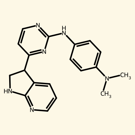 CN(C)c1ccc(Nc2nccc(C3CNc4ncccc43)n2)cc1